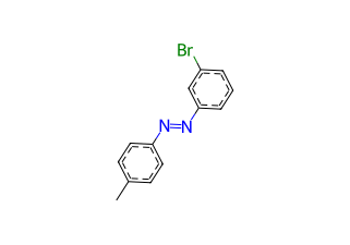 Cc1ccc(N=Nc2cccc(Br)c2)cc1